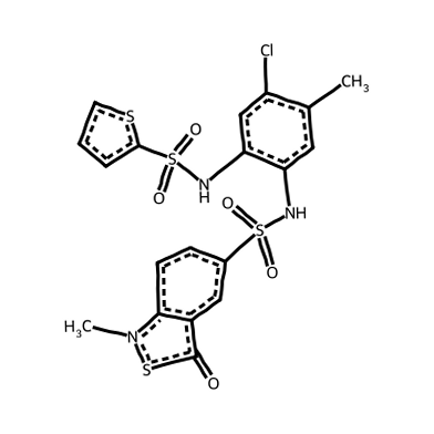 Cc1cc(NS(=O)(=O)c2ccc3c(c2)c(=O)sn3C)c(NS(=O)(=O)c2cccs2)cc1Cl